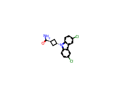 NC(=O)[C@H]1C[C@H](n2c3ccc(Cl)cc3c3cc(Cl)ccc32)C1